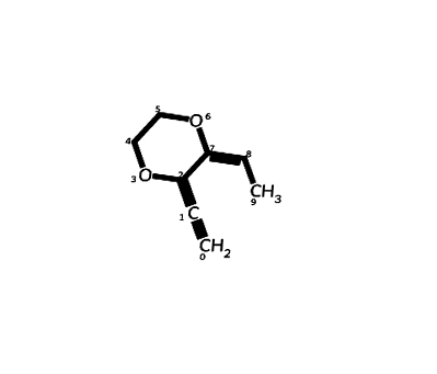 C=C=C1OCCOC1=CC